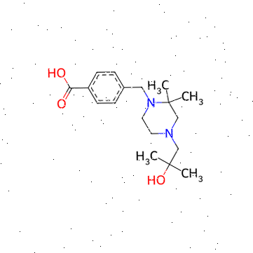 CC(C)(O)CN1CCN(Cc2ccc(C(=O)O)cc2)C(C)(C)C1